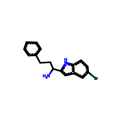 NC(CCc1ccccc1)c1cc2cc(Br)ccc2[nH]1